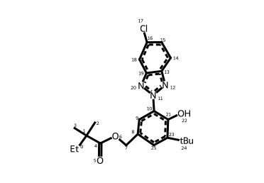 CCC(C)(C)C(=O)OCc1cc(-n2nc3ccc(Cl)cc3n2)c(O)c(C(C)(C)C)c1